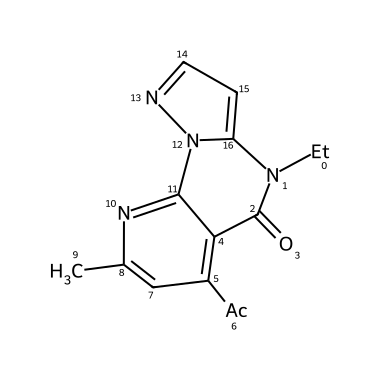 CCn1c(=O)c2c(C(C)=O)cc(C)nc2n2nccc12